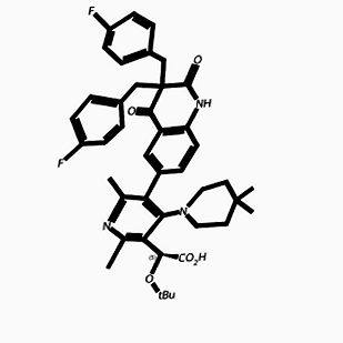 Cc1nc(C)c([C@H](OC(C)(C)C)C(=O)O)c(N2CCC(C)(C)CC2)c1-c1ccc2c(c1)C(=O)C(Cc1ccc(F)cc1)(Cc1ccc(F)cc1)C(=O)N2